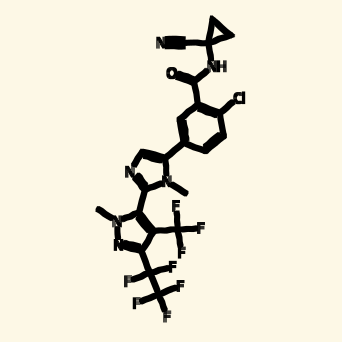 Cn1nc(C(F)(F)C(F)(F)F)c(C(F)(F)F)c1-c1ncc(-c2ccc(Cl)c(C(=O)NC3(C#N)CC3)c2)n1C